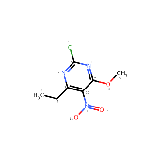 CCc1nc(Cl)nc(OC)c1[N+](=O)[O-]